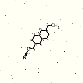 CCC1CCC2CC(COC#N)CCC2C1